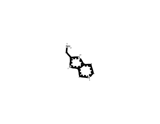 NCc1nc2cnccc2s1